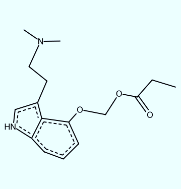 CCC(=O)OCOc1cccc2[nH]cc(CCN(C)C)c12